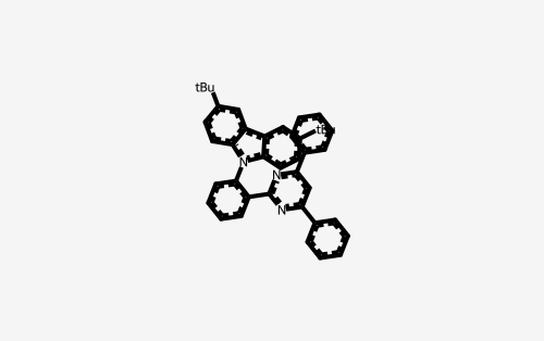 CC(C)(C)c1ccc2c(c1)c1cc(C(C)(C)C)ccc1n2-c1ccccc1-c1nc(-c2ccccc2)cc(-c2ccccc2)n1